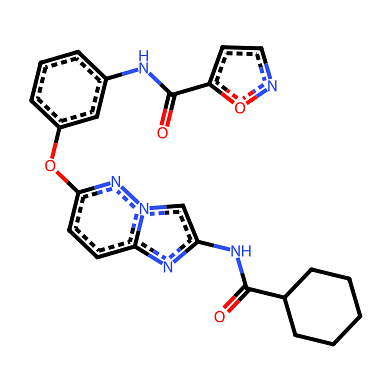 O=C(Nc1cccc(Oc2ccc3nc(NC(=O)C4CCCCC4)cn3n2)c1)c1ccno1